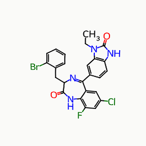 CCn1c(=O)[nH]c2ccc(C3=NC(Cc4ccccc4Br)C(=O)Nc4c(F)cc(Cl)cc43)cc21